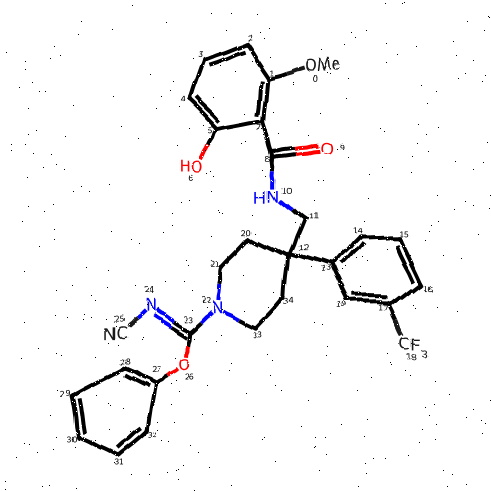 COc1cccc(O)c1C(=O)NCC1(c2cccc(C(F)(F)F)c2)CCN(/C(=N/C#N)Oc2ccccc2)CC1